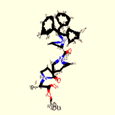 CCCCOC(=O)[C@H](C(C)C)N1CCC2(CCN(C(=O)[C@@H]3CN3C(c3ccccc3)(c3ccccc3)c3ccccc3)C2)C1=O